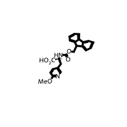 COc1ccc(C[C@H](NC(=O)OCC2c3ccccc3-c3ccccc32)C(=O)O)cn1